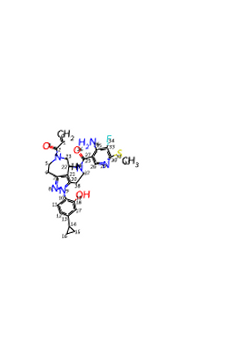 C=CC(=O)N1CCc2nn(-c3ccc(C4CC4)cc3O)c3c2[C@H](C1)N(C(=O)c1cnc(SC)c(F)c1N)CC3